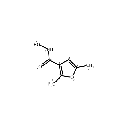 Cc1cc(C(=O)NO)c(C(F)(F)F)o1